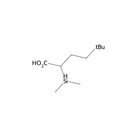 C[SiH](C)C(CCC(C)(C)C)C(=O)O